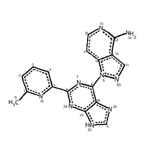 Cc1cccc(-c2nc(-n3ncc4c(N)nccc43)c3nc[nH]c3n2)n1